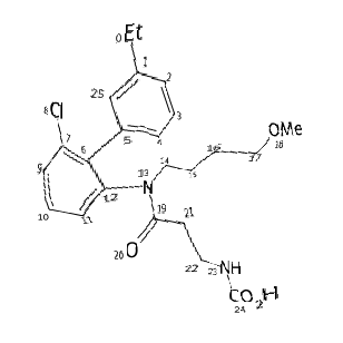 CCc1cccc(-c2c(Cl)cccc2N(CCCCOC)C(=O)CCNC(=O)O)c1